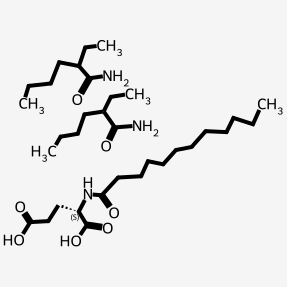 CCCCC(CC)C(N)=O.CCCCC(CC)C(N)=O.CCCCCCCCCCCC(=O)N[C@@H](CCC(=O)O)C(=O)O